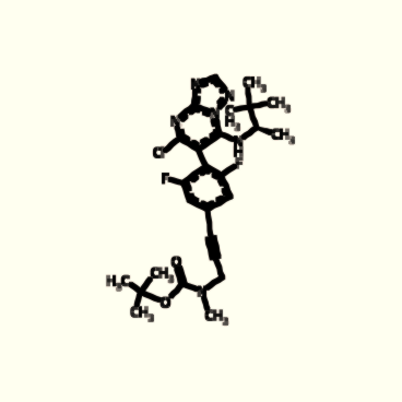 C[C@@H](Nc1c(-c2c(F)cc(C#CCN(C)C(=O)OC(C)(C)C)cc2F)c(Cl)nc2ncnn12)C(C)(C)C